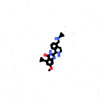 COc1cc(C2CC2)c2c(=O)[nH]c(C3NCCc4c(CNC5CC5)cccc43)nc2c1